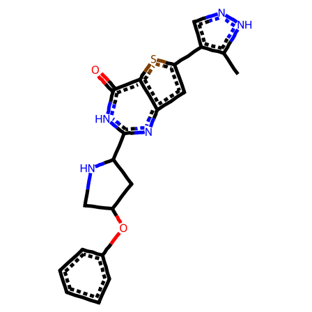 Cc1[nH]ncc1-c1cc2nc(C3CC(Oc4ccccc4)CN3)[nH]c(=O)c2s1